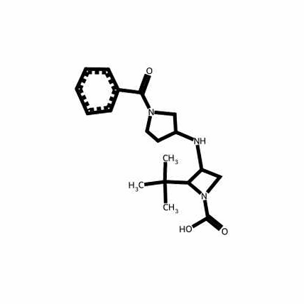 CC(C)(C)C1C(NC2CCN(C(=O)c3ccccc3)C2)CN1C(=O)O